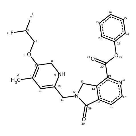 CC1=C(OCC(F)F)CNC(CN2Cc3c(ccnc3C(=O)Oc3ccccc3)C2=O)=C1